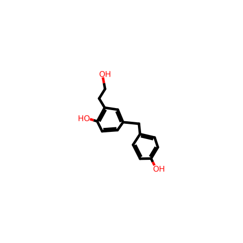 OCCc1cc(Cc2ccc(O)cc2)ccc1O